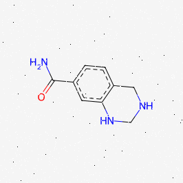 NC(=O)c1ccc2c(c1)NCNC2